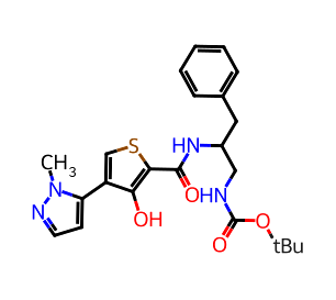 Cn1nccc1-c1csc(C(=O)NC(CNC(=O)OC(C)(C)C)Cc2ccccc2)c1O